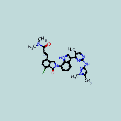 Cc1cnc(Nc2cc(C)n(C)n2)nc1-c1c[nH]c2c(N3Cc4c(/C=C/C(=O)N(C)C)ccc(F)c4C3=O)cccc12